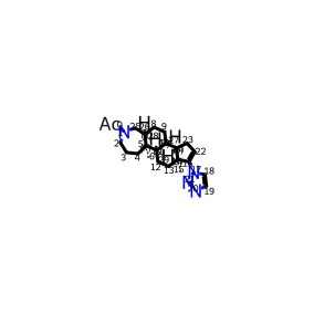 CC(=O)N1CCC[C@@]2(C)[C@@H](CC[C@@H]3[C@@H]2CC[C@]2(C)C(n4ccnn4)=CC[C@@H]32)C1